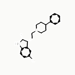 C[C@H]1Nc2ccc(Br)cc2[C@H]1CCN1CCC(c2ccccc2)CC1